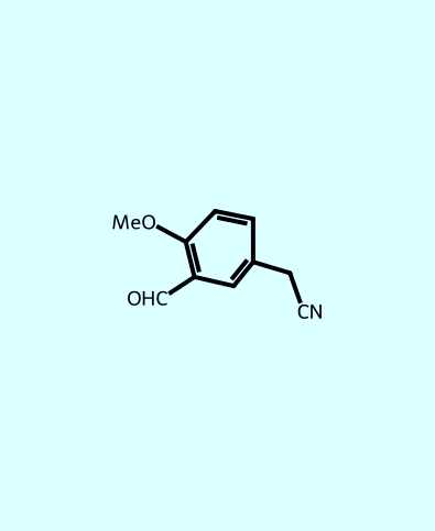 COc1ccc(CC#N)cc1C=O